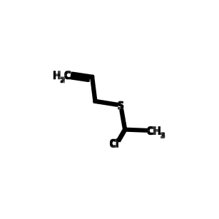 C=CCSC(C)Cl